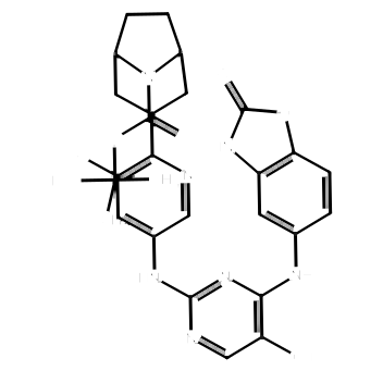 Cc1cnc(Nc2cnc(C3CC4CCC(C3)N4C(=O)OC(C)(C)C)c(C)c2)nc1Nc1ccc2oc(=O)[nH]c2c1